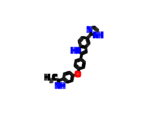 CC(=N)c1ccc(Oc2ccc(-c3cc4cc(-c5ncc[nH]5)ccc4[nH]3)cc2)cc1